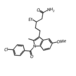 CCC(CCc1c(C)n(C(=O)c2ccc(Cl)cc2)c2ccc(OC)cc12)CC(N)=O